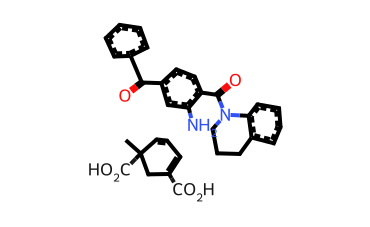 CC1(C(=O)O)C=CC=C(C(=O)O)C1.Nc1cc(C(=O)c2ccccc2)ccc1C(=O)N1CCCc2ccccc21